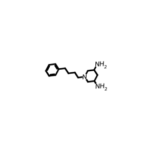 NC1CC(N)CN(CCCCc2ccccc2)C1